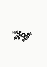 COC(=O)[C@H]1C[C@H](N(C(=O)CN)C(=O)OC(C)(C)C)CCN1C(=O)OC(C)(C)C